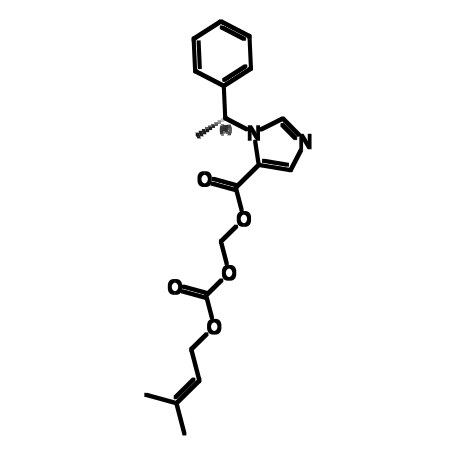 CC(C)=CCOC(=O)OCOC(=O)c1cncn1[C@H](C)c1ccccc1